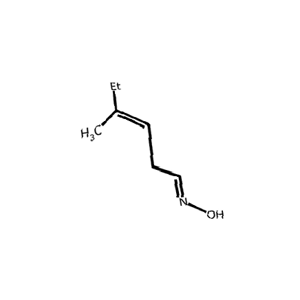 CCC(C)=CCC=NO